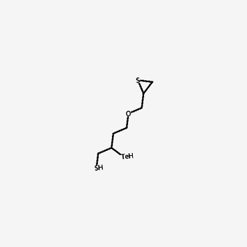 SCC([TeH])CCOCC1CS1